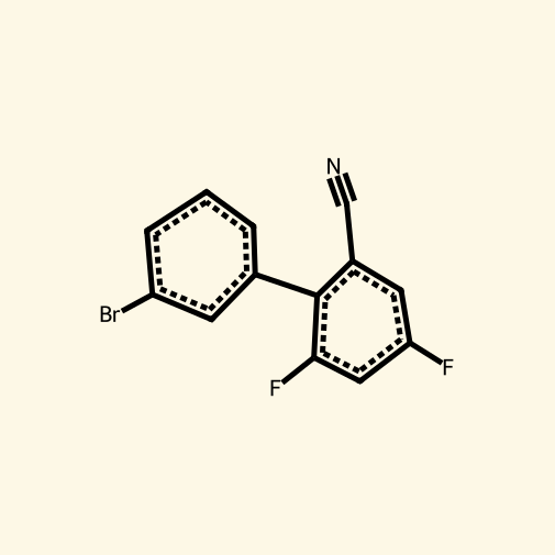 N#Cc1cc(F)cc(F)c1-c1cccc(Br)c1